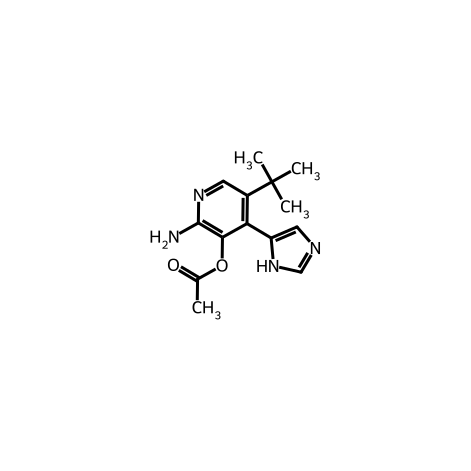 CC(=O)Oc1c(N)ncc(C(C)(C)C)c1-c1cnc[nH]1